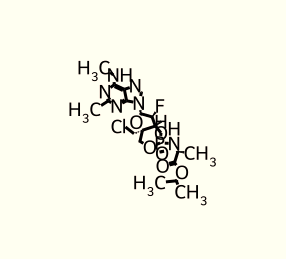 CNc1nc(C)nc2c1ncn2[C@@H]1O[C@]2(CCl)COP(=O)(N[C@@H](C)C(=O)OC(C)C)O[C@H]2[C@@H]1F